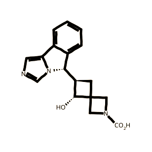 O=C(O)N1CC2(C[C@H]([C@H]3c4ccccc4-c4cncn43)[C@H]2O)C1